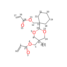 C=CC(=O)OCC1(CC)COC(C2(COC(=O)C=C)CCCCC2)OC1